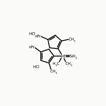 CCCC1=CC(C)=[C]([Hf]([CH3])([CH3])(=[SiH2])[C]2=C(C)C=C(CCC)C2)C1.Cl.Cl